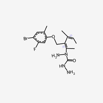 C/C=C(C)\C(COc1cc(F)c(Br)cc1C)=C(/C)N(N)C(=O)NN